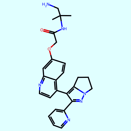 CC(C)(CN)NC(=O)COc1ccc2c(-c3c(-c4ccccn4)nn4c3CCC4)ccnc2c1